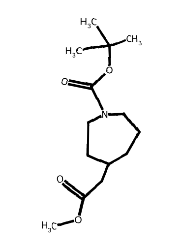 COC(=O)CC1CCCN(C(=O)OC(C)(C)C)CC1